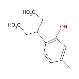 Cc1ccc(C(CC(=O)O)CC(=O)O)c(O)c1